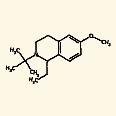 CCC1c2ccc(OC)cc2CCN1C(C)(C)C